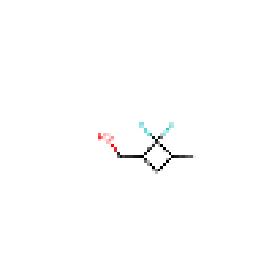 CC1CC(CO)C1(F)F